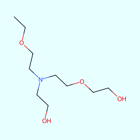 CCOCCN(CCO)CCOCCO